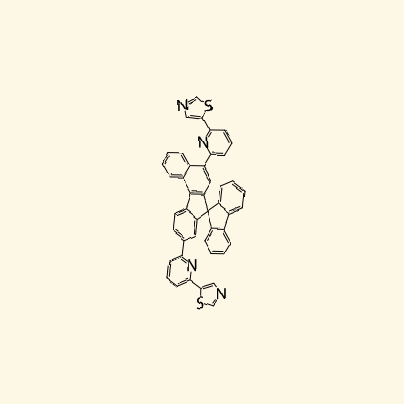 c1cc(-c2ccc3c(c2)C2(c4ccccc4-c4ccccc42)c2cc(-c4cccc(-c5cncs5)n4)c4ccccc4c2-3)nc(-c2cncs2)c1